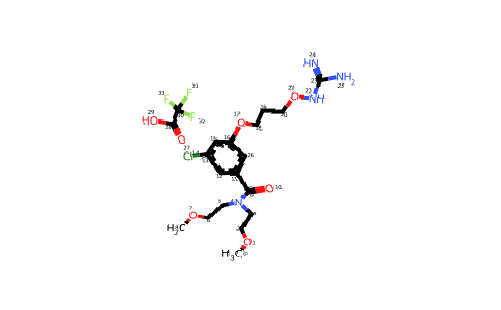 COCCN(CCOC)C(=O)c1cc(Cl)cc(OCCCONC(=N)N)c1.O=C(O)C(F)(F)F